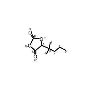 CCCC(C)(C)C1OC(=O)OC1=O